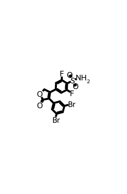 NS(=O)(=O)c1c(F)cc(C2=C(c3cc(Br)cc(Br)c3)C(=O)OC2)cc1F